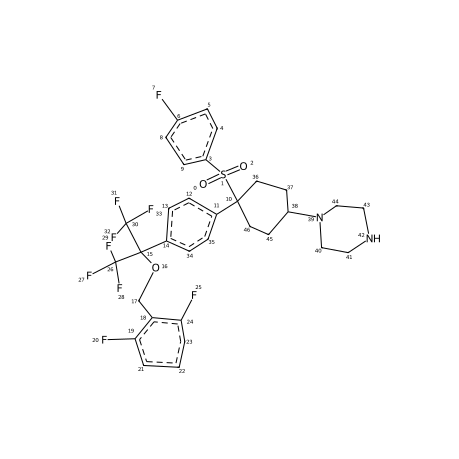 O=S(=O)(c1ccc(F)cc1)C1(c2ccc(C(OCc3c(F)cccc3F)(C(F)(F)F)C(F)(F)F)cc2)CCC(N2CCNCC2)CC1